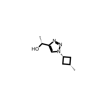 C[C@@H](O)c1cn([C@H]2C[C@@H](C)C2)nn1